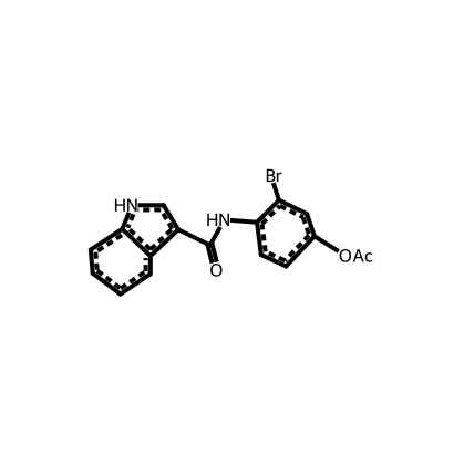 CC(=O)Oc1ccc(NC(=O)c2c[nH]c3ccccc23)c(Br)c1